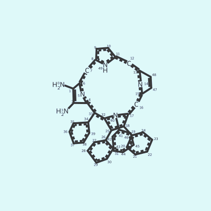 NC1=C(N)c2nc1cc1ccc(cc3nc(cc4c(-c5ccccc5)c(-c5ccccc5)c(c2-c2ccccc2)n4-c2ccccc2)C=C3)[nH]1